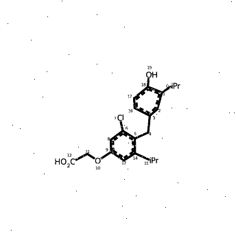 CC(C)c1cc(Cc2c(Cl)cc(OCC(=O)O)cc2C(C)C)ccc1O